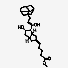 COC(=O)CCC/C=C1\C[C@@H]2C[C@H](O)[C@@H](C(O)=CCC34CC5CC(CC(C5)C3)C4)[C@@H]2C1